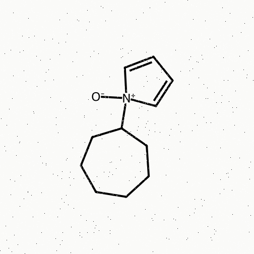 [O-][N+]1(C2CCCCCC2)C=CC=C1